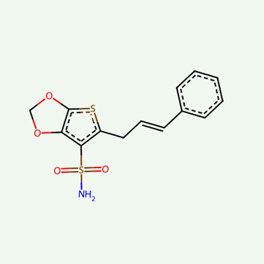 NS(=O)(=O)c1c(CC=Cc2ccccc2)sc2c1OCO2